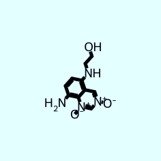 Nc1ccc(NCCO)c2c[n+]([O-])c[n+]([O-])c12